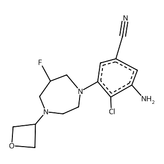 N#Cc1cc(N)c(Cl)c(N2CCN(C3COC3)CC(F)C2)c1